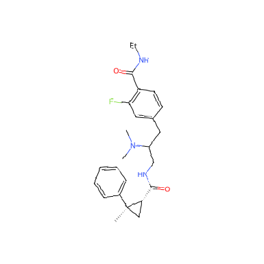 CCNC(=O)c1ccc(CC(CNC(=O)[C@@H]2C[C@@]2(C)c2ccccc2)N(C)C)cc1F